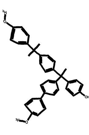 [2H]Oc1ccc(-c2ccc(C(C)(c3ccc(O)cc3)c3ccc(C(C)(C)c4ccc(O[2H])cc4)cc3)cc2)cc1